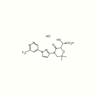 CC1(C)CN(c2ccn(-c3cnnc(C(F)(F)F)c3)n2)C(=O)C([C@@H](O)C(=O)O)O1.Cl